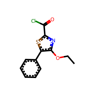 CCOc1nc(C(=O)Cl)sc1-c1ccccc1